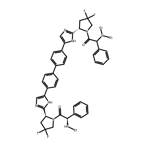 CCN[C@@H](C(=O)N1CC(F)(F)C[C@H]1c1ncc(-c2ccc(-c3ccc(-c4cnc([C@@H]5CC(F)(F)CN5C(=O)C(c5ccccc5)N(CC)CC)[nH]4)cc3)cc2)[nH]1)c1ccccc1